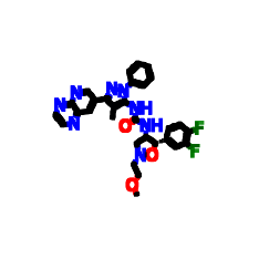 COCCN1C[C@@H](NC(=O)Nc2c(C)c(-c3cnc4nccnc4c3)nn2-c2ccccc2)[C@H](c2ccc(F)c(F)c2)O1